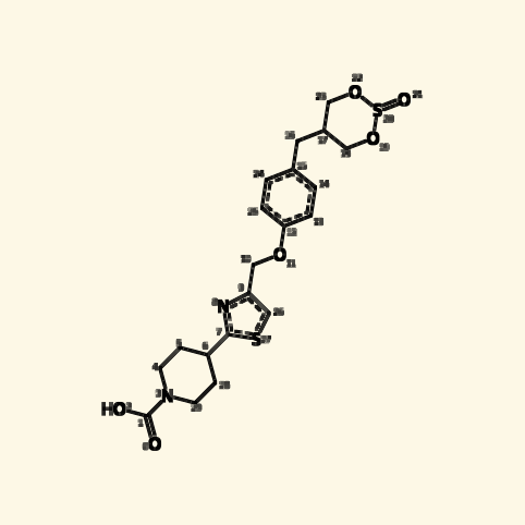 O=C(O)N1CCC(c2nc(COc3ccc(CC4COS(=O)OC4)cc3)cs2)CC1